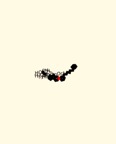 CCCCCCCCC1(CCCCCCCC)c2cc(BOC(C)(C)C(C)(C)O)ccc2-c2ccc(-c3cccc(CCCCCCc4ccccc4)c3)cc21